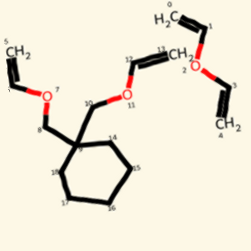 C=COC=C.C=COCC1(COC=C)CCCCC1